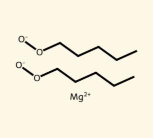 CCCCCO[O-].CCCCCO[O-].[Mg+2]